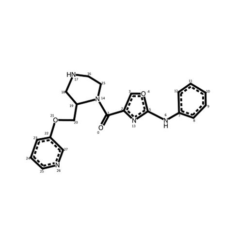 O=C(c1coc(Nc2ccccc2)n1)N1CCNCC1COc1cccnc1